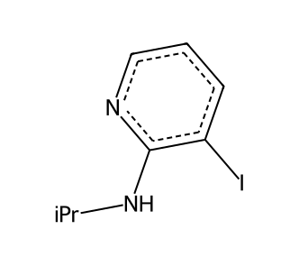 CC(C)Nc1ncccc1I